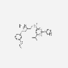 CCOc1cccc(CCC(N)CCN(C)c2cc(C(C)C)nc(-n3ccnc3)n2)c1